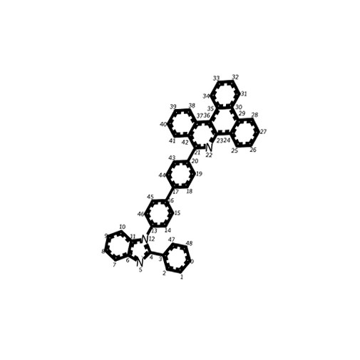 c1ccc(-c2nc3ccccc3n2-c2ccc(-c3ccc(-c4nc5c6ccccc6c6ccccc6c5c5ccccc45)cc3)cc2)cc1